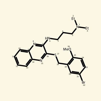 CCN(CC)CCCNc1nc2ccccc2nc1SCc1cc(Br)ccc1OC